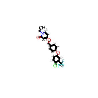 CCn1ccc(OCc2ccc(Oc3ccc(Cl)c(C(F)(F)F)c3)cc2)cc1=O